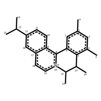 Cc1cc(C)c2c(c1)-c1c3ccc(C(C)C)cc3cc[n+]1C(C)C2C